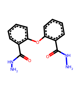 NNC(=O)c1ccccc1Oc1ccccc1C(=O)NN